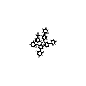 Cc1cc(C)c(-c2cc3c4c(c2)N2c5c(cc(C(C)(C)C)cc5C5(C)CCCCC25C)B4N(c2ccc(-c4ccccc4)cc2)c2cc(-c4ccccc4)ccc2-3)c(C)c1